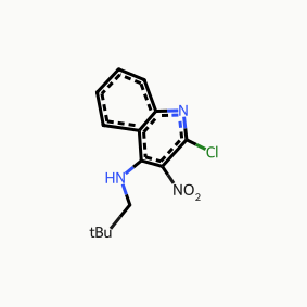 CC(C)(C)CNc1c([N+](=O)[O-])c(Cl)nc2ccccc12